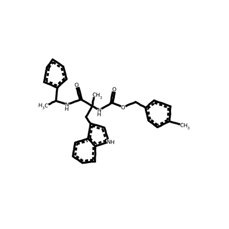 Cc1ccc(COC(=O)NC(C)(Cc2c[nH]c3ccccc23)C(=O)NC(C)c2ccccc2)cc1